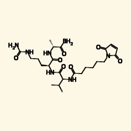 BC(=O)[C@@H](C)NC(=O)[C@H](CCCNC(N)=O)NC(=O)C(NC(=O)CCCCCN1C(=O)C=CC1=O)C(C)C